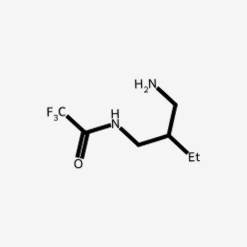 CCC(CN)CNC(=O)C(F)(F)F